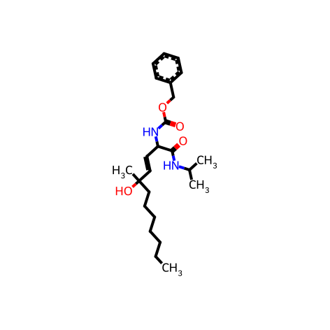 CCCCCCCC(C)(O)/C=C/C(NC(=O)OCc1ccccc1)C(=O)NC(C)C